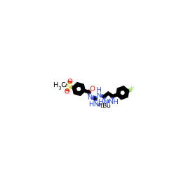 CC(C)(C)N/C(=N/C(=O)c1ccc(S(C)(=O)=O)cc1)NC1CC(c2ccc(F)cc2)NN1